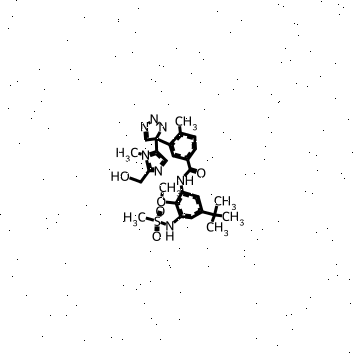 COc1c(NC(=O)c2ccc(C)c(C3(c4cnc(CO)n4C)C=NN=N3)c2)cc(C(C)(C)C)cc1NS(C)(=O)=O